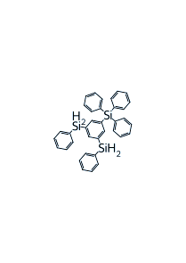 c1ccc([SiH2]c2cc([SiH2]c3ccccc3)cc([Si](c3ccccc3)(c3ccccc3)c3ccccc3)c2)cc1